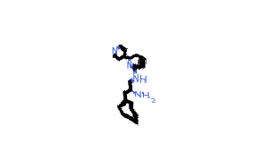 N[C@H](CNc1cccc(-c2ccncc2)n1)Cc1ccccc1